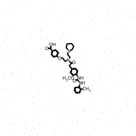 COc1cc(CC(=O)N(CCOc2ccc(C(=O)O)cc2)CCN2CCCCC2)ccc1NC(=O)Nc1ccccc1C